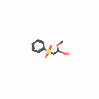 COC(O)CS(=O)(=O)c1ccccc1